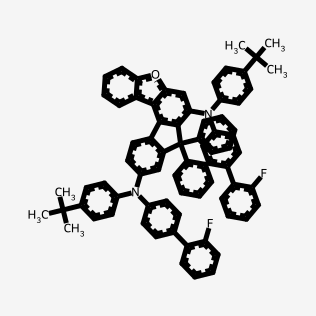 CC(C)(C)c1ccc(N(c2ccc(-c3ccccc3F)cc2)c2ccc3c(c2)C(c2ccccc2)(c2ccccc2)c2c(N(c4ccc(-c5ccccc5F)cc4)c4ccc(C(C)(C)C)cc4)cc4oc5ccccc5c4c2-3)cc1